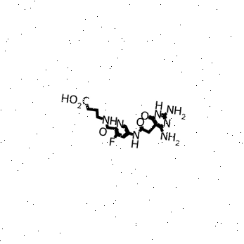 Nc1nc(N)c(CC(=O)Nc2cnc(C(=O)NCCCC(=O)O)c(F)c2)c(=O)[nH]1